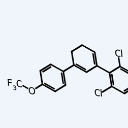 FC(F)(F)Oc1ccc(C2=CC(c3c(Cl)cccc3Cl)=CCC2)cc1